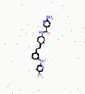 Nc1ccc(C(=O)NC2CCC(=CCc3cccc(Nc4ccc(C(F)(F)F)cn4)c3)CC2)cn1